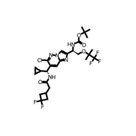 CC(C)(C)OC(=O)N[C@@H](COC(C)(C)C(F)(F)F)c1cn2nc(Cl)c([C@H](NC(=O)CC3CC(F)(F)C3)C3CC3)cc2n1